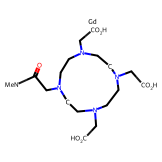 CNC(=O)CN1CCN(CC(=O)O)CCN(CC(=O)O)CCN(CC(=O)O)CC1.[Gd]